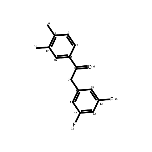 Cc1ccc(C(=O)Cc2cc(F)cc(F)c2)cc1C